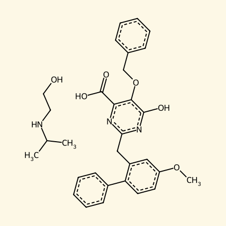 CC(C)NCCO.COc1ccc(-c2ccccc2)c(Cc2nc(O)c(OCc3ccccc3)c(C(=O)O)n2)c1